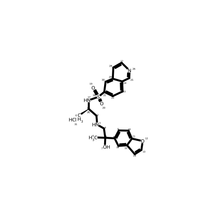 C[C@H](CNCC(C)(O)c1ccc2occc2c1)NS(=O)(=O)c1ccc2cnccc2c1.Cl